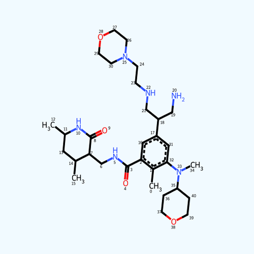 Cc1c(C(=O)NCC2C(=O)NC(C)CC2C)cc(C(CN)CNCCN2CCOCC2)cc1N(C)C1CCOCC1